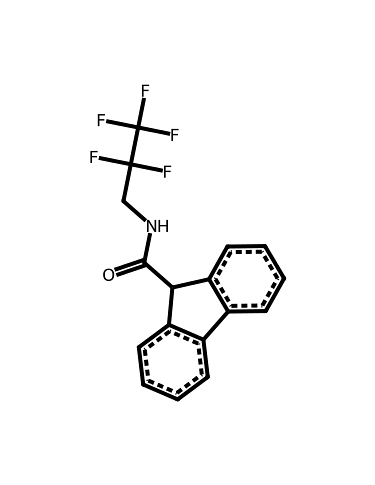 O=C(NCC(F)(F)C(F)(F)F)C1c2ccccc2-c2ccccc21